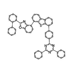 c1ccc(-c2nc(-c3ccccc3)nc(-c3ccc(-c4cccc5c4sc4c(-c6cccc7oc(-c8ccccc8-c8ccccc8)nc67)cccc45)cc3)n2)cc1